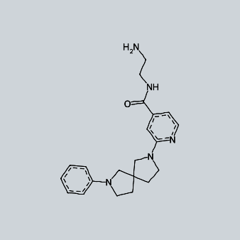 NCCNC(=O)c1ccnc(N2CCC3(CCN(c4ccccc4)C3)C2)c1